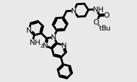 CC(C)(C)OC(=O)NC1CCN(Cc2ccc(-n3c(-c4cccnc4N)nc4cc(-c5ccccc5)cnc43)cc2)CC1